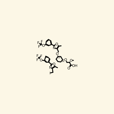 COC(CO[C@@H]1CCC[C@H](OCc2nc(-c3cccc(OC(F)(F)F)c3)oc2C)C1)C(=O)O.Cc1oc(-c2cccc(OC(F)(F)F)c2)nc1CI